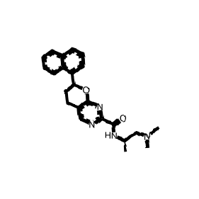 C[C@H](CN(C)C)NC(=O)c1ncc2c(n1)OC(c1cccc3ccccc13)CC2